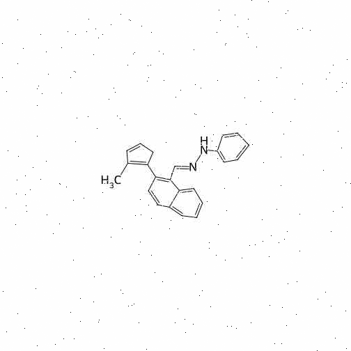 CC1=C(c2ccc3ccccc3c2/C=N/Nc2ccccc2)CC=C1